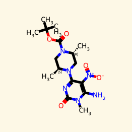 C[C@@H]1CN(c2nc(=O)n(C)c(N)c2[N+](=O)[O-])[C@@H](C)CN1C(=O)OC(C)(C)C